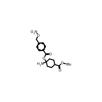 CC(C)(C)OC(=O)C1CCC(N)(OC(=O)c2ccc(CO[N+](=O)[O-])cc2)CC1